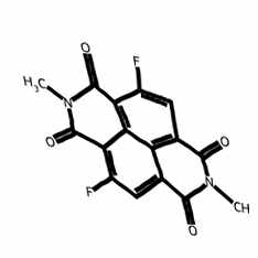 CN1C(=O)c2cc(F)c3c4c(c(F)cc(c24)C1=O)C(=O)N(C)C3=O